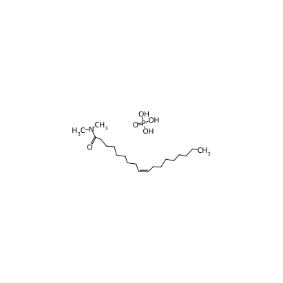 CCCCCCCC/C=C\CCCCCCCC(=O)N(C)C.O=P(O)(O)O